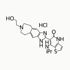 CC(C)Nc1c(-c2nc3cc4c(cc3[nH]2)CCN(CCO)CC4)c(=O)[nH]c2ccsc12.Cl